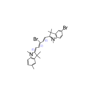 Cc1ccc2c(c1)C(C)(C)\C(=C/C=C(Br)/C=C/C1=[N+](C)c3ccc(Br)cc3C1(C)C)N2C